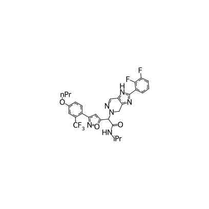 CCCOc1ccc(-c2cc(C(C(=O)NC(C)C)N3Cc4nc(-c5cccc(F)c5F)[nH]c4C=N3)on2)c(C(F)(F)F)c1